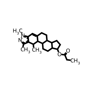 CCC(=O)OC1CCC2C1CCC1C2CCC2=Cc3c(c(C)nn3C)C(C)C21